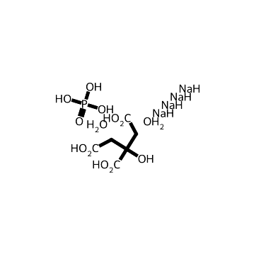 O.O.O=C(O)CC(O)(CC(=O)O)C(=O)O.O=P(O)(O)O.[NaH].[NaH].[NaH].[NaH]